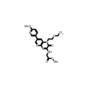 COc1ccc(-c2cnc3nc(NCC(=O)OC(C)(C)C)c(=O)n(CCOCC(F)(F)F)c3c2)cn1